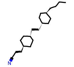 CCCC[C@H]1CC[C@H](C=C[C@H]2CC[C@H](C=CC#N)CC2)CC1